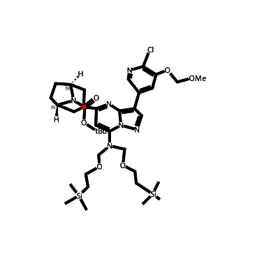 COCOc1cc(-c2cnn3c(N(COCC[Si](C)(C)C)COCC[Si](C)(C)C)cc(C4C[C@@H]5CC[C@@H](C4)N5C(=O)OC(C)(C)C)nc23)cnc1Cl